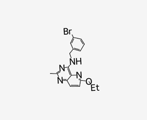 CCOc1ccc2nc(C)nc(NCc3cccc(Br)c3)c2n1